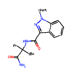 CCCCCn1nc(C(=O)NC(C(N)=O)(C(C)C)C(C)(C)C)c2ccccc21